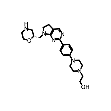 OCCN1CCN(c2ccc(-c3ncc4c(n3)N(C[C@H]3CNCCO3)CC4)cc2)CC1